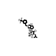 CC(C)C[C@@H](NS(C)(=O)=O)C(=O)N[C@H]1CC[C@@H]2CN(Cc3cccc(C(F)(F)F)c3)C[C@@H]21